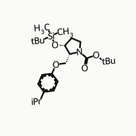 CC(C)c1ccc(OC[C@@H]2[C@H](O[Si](C)(C)C(C)(C)C)CCN2C(=O)OC(C)(C)C)cc1